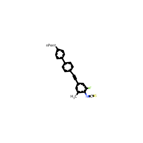 CCCCCc1ccc(-c2ccc(C#Cc3cc(C)c(N=C=S)c(F)c3)cc2)cc1